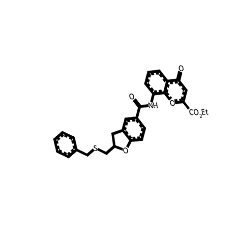 CCOC(=O)c1cc(=O)c2cccc(NC(=O)c3ccc4c(c3)CC(CSCc3ccccc3)O4)c2o1